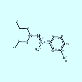 CCCN(CCC)/N=[N+](\[O-])c1cccc(Br)c1